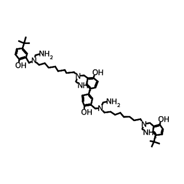 CC(C)(C)c1ccc(O)c(CN(CN)CCCCCCCCN(CN)Cc2cc(-c3ccc(O)c(CN(CN)CCCCCCCCN(CN)Cc4cc(C(C)(C)C)ccc4O)c3)ccc2O)c1